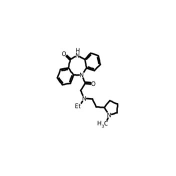 CCN(CCC1CCCN1C)CC(=O)N1c2ccccc2NC(=O)c2ccccc21